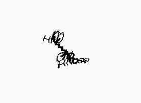 CCONC(=O)CCCCCCC(=O)N1CCc2c([nH]c3ccc(OCC(C)=O)cc23)C1